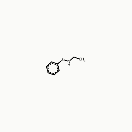 CCNSc1ccccc1